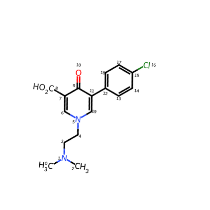 CN(C)CCn1cc(C(=O)O)c(=O)c(-c2ccc(Cl)cc2)c1